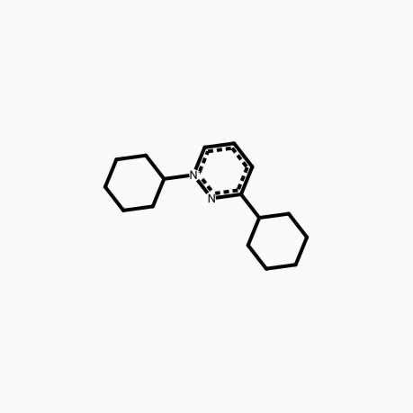 c1cc(C2CCCCC2)n[n+](C2CCCCC2)c1